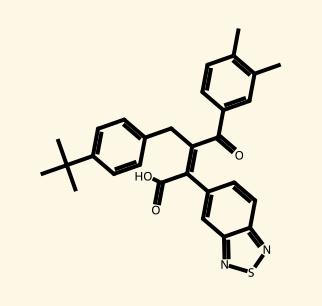 Cc1ccc(C(=O)C(Cc2ccc(C(C)(C)C)cc2)=C(C(=O)O)c2ccc3nsnc3c2)cc1C